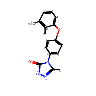 COc1cccc(Oc2ccc(-n3c(C)n[nH]c3=O)cc2)c1C